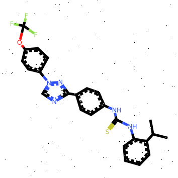 CC(C)c1ccccc1NC(=S)Nc1ccc(-c2ncn(-c3ccc(OC(F)(F)F)cc3)n2)cc1